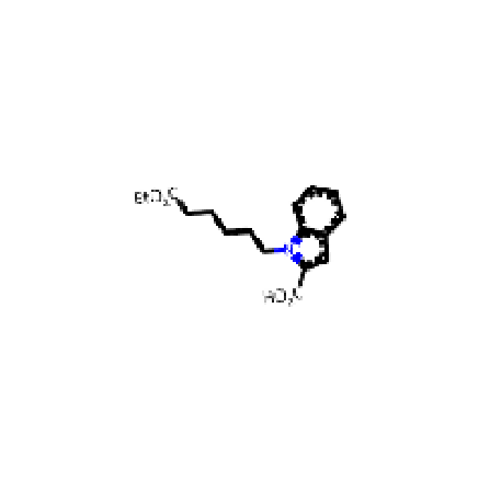 CCOC(=O)CCCCCn1c(C(=O)O)cc2ccccc21